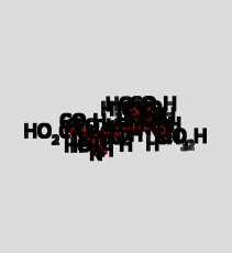 Cc1cc(C(=O)NCCN(CCCN(CCNC(=O)c2cc(C)n(CC(=O)O)c(=O)c2O)CCNC(=O)c2cc(C)n(CC(=O)NCC3CCC(C(=O)N[C@@H](Cc4cnc5ccccc5c4)C(=O)NCCCC[C@H](NC(=O)N[C@@H](CCC(=O)O)C(=O)O)C(=O)O)CC3)c(=O)c2O)CCNC(=O)c2cc(C)n(CC(=O)O)c(=O)c2O)c(O)c(=O)n1CC(=O)O